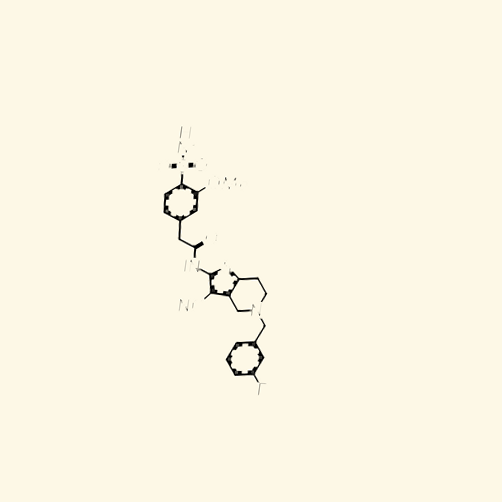 COc1cc(CC(=O)Nc2sc3c(c2C#N)CN(Cc2cccc(F)c2)CC3)ccc1S(N)(=O)=O